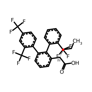 CCC[C@H](C(=O)O)c1cccc(-c2ccc(C(F)(F)F)cc2C(F)(F)F)c1-c1ccccc1C(F)(F)F